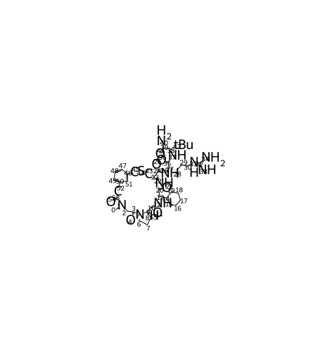 CN1CC(=O)N2CCC[C@H]2C(=O)NC(C2CCCCC2)C(=O)N[C@H](C(=O)N[C@@H](CCCNC(=N)N)C(=O)N[C@H](C(N)=O)C(C)(C)C)CSCc2cccc(c2)CC1=O